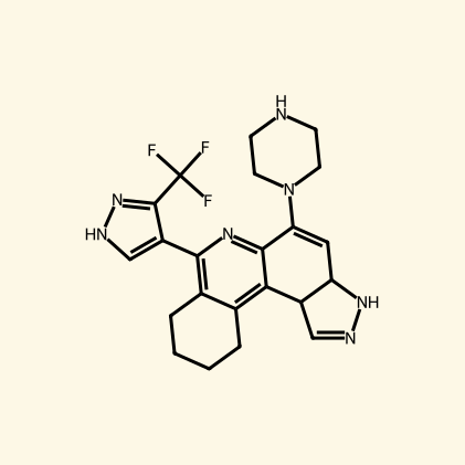 FC(F)(F)c1n[nH]cc1-c1nc2c(c3c1CCCC3)C1C=NNC1C=C2N1CCNCC1